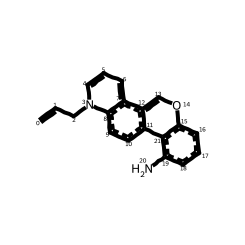 C=CCN1C=CC=c2c1ccc1c2=COc2cccc(N)c2-1